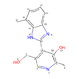 Cc1ncc(CO)c(-c2nc3cccc(C)c3[nH]2)c1O